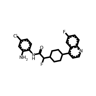 Nc1cc(Cl)ccc1NC(=O)C(F)C1CCC(c2ccnc3ccc(F)cc23)CC1